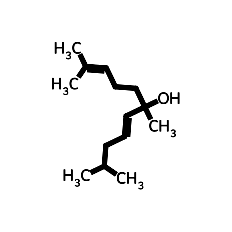 CC(C)=CCCC(C)(O)C=CCC(C)C